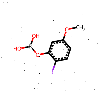 COc1ccc(I)c(OB(O)O)c1